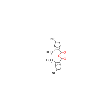 N#CC1CC2CC1C(C(=O)O)C2C(=O)OC(=O)C1C2CC(C#N)C(C2)C1C(=O)O